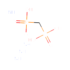 N.N.N.N.O=P(O)(O)CP(=O)(O)O